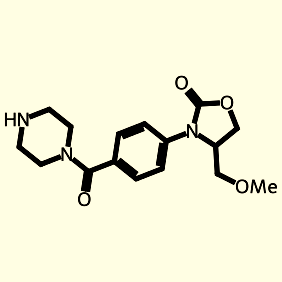 COCC1COC(=O)N1c1ccc(C(=O)N2CCNCC2)cc1